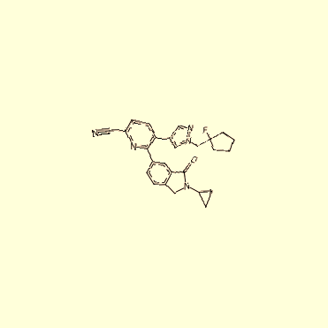 N#Cc1ccc(-c2cnn(CC3(F)CCCC3)c2)c(-c2ccc3c(c2)C(=O)N(C2CC2)C3)n1